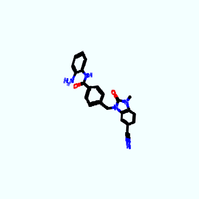 Cn1c(=O)n(Cc2ccc(C(=O)Nc3ccccc3N)cc2)c2cc(C#N)ccc21